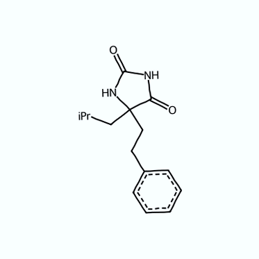 CC(C)CC1(CCc2ccccc2)NC(=O)NC1=O